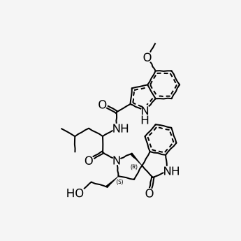 COc1cccc2[nH]c(C(=O)NC(CC(C)C)C(=O)N3C[C@]4(C[C@H]3CCO)C(=O)Nc3ccccc34)cc12